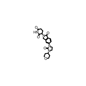 O=C1CCC(N2Cc3cc(N4CCN(C5CCOCC5)C4=O)ccc3C2=O)C(=O)N1